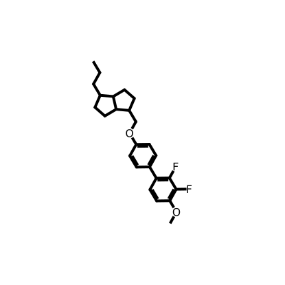 CCCC1CCC2C(COc3ccc(-c4ccc(OC)c(F)c4F)cc3)CCC12